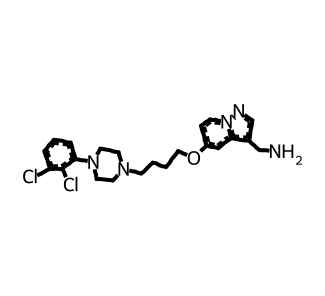 NCc1cnn2ccc(OCCCCN3CCN(c4cccc(Cl)c4Cl)CC3)cc12